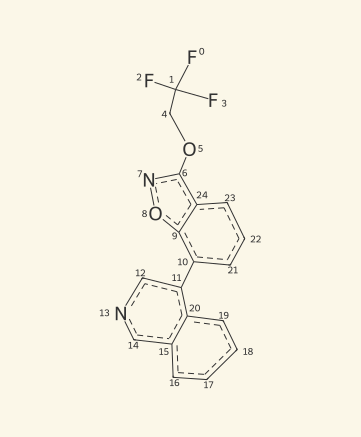 FC(F)(F)COc1noc2c(-c3cncc4ccccc34)cccc12